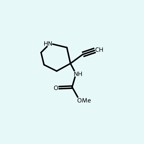 C#CC1(NC(=O)OC)CCCNC1